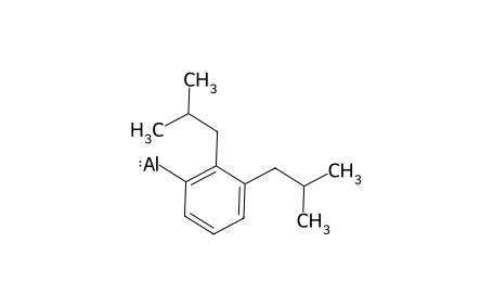 CC(C)Cc1ccc[c]([Al])c1CC(C)C